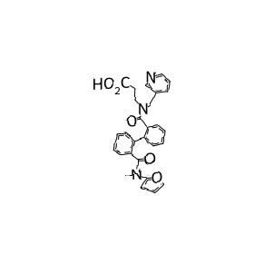 CN(C(=O)c1ccccc1-c1ccccc1C(=O)N(CCC(=O)O)Cc1cccnc1)c1ccco1